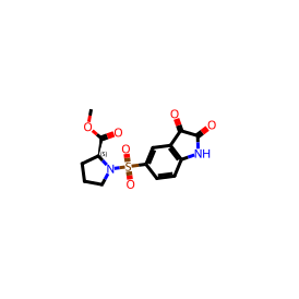 COC(=O)[C@@H]1CCCN1S(=O)(=O)c1ccc2c(c1)C(=O)C(=O)N2